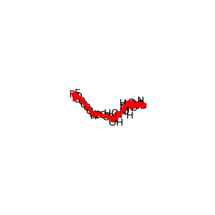 CCc1cc(F)cc(F)c1OC(=O)CCOCCOCCOCCOCCn1cc(COCCOCCOCCOCCN(CCO)CCCN(CCO)CCCNC(=O)c2ncn(-c3ncc(OC)c4c(C(=O)C(=O)N5CCC(=C(C#N)c6ccccc6)CC5)c[nH]c34)n2)nn1